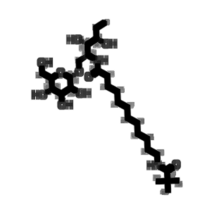 CC[C@@H](O)[C@@H](O)[C@H](CO[C@H]1OC(CO)[C@H](O)C(O)C1O)NC(=O)CCCCCCCCCCCNC(=O)C(C)(C)C